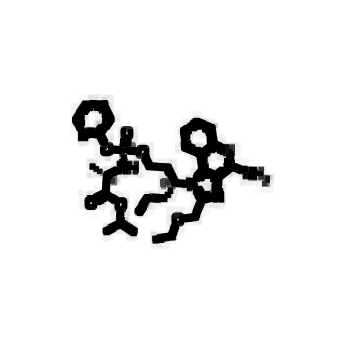 CCC[C@H](CCO[P@](=O)(N[C@@H](C)C(=O)OC(C)C)Oc1ccccn1)n1c(COCC)nc2c(N)nc3ccccc3c21